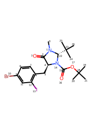 CN1C(=O)[C@H](Cc2ccc(Br)cc2I)N(C(=O)OC(C)(C)C)[C@H]1C(C)(C)C